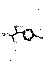 CCCCCC(c1ccc(Br)cc1)C(C=O)CC